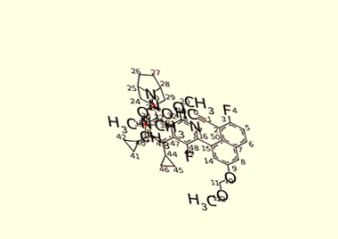 C#Cc1c(F)ccc2cc(OCOC)cc(-c3nc(OC)c4c(N5CC6CCC(C5)N6C(=O)OC(C)(C)C)nc(C5CC5)c(C5CC5)c4c3F)c12